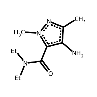 CCN(CC)C(=O)c1c(N)c(C)nn1C